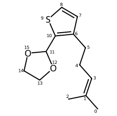 CC(C)=CCCc1ccsc1C1OCCO1